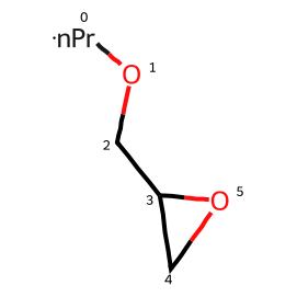 CC[CH]OCC1CO1